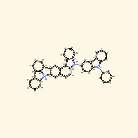 c1ccc(-n2c3ccccc3c3cc(-n4c5ccccc5c5c6cc7c8cccc9c%10ccccc%10n(c7cc6ccc54)c98)ccc32)cc1